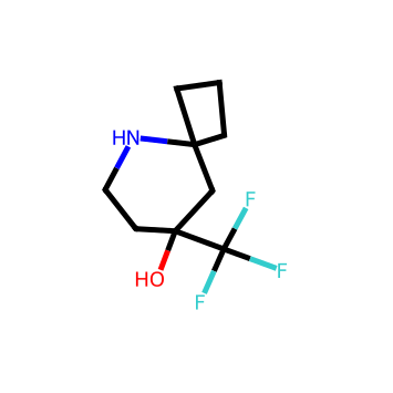 OC1(C(F)(F)F)CCNC2(CCC2)C1